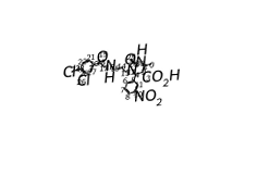 CC1=C(C(=O)O)C(c2cccc([N+](=O)[O-])c2)N(CCCNCC(=O)c2ccc(Cl)c(Cl)c2)C(=O)N1